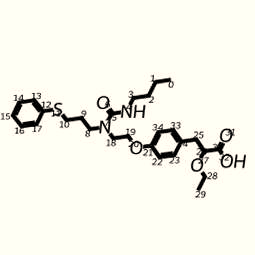 CCCCNC(=O)N(CCCSc1ccccc1)CCOc1ccc(CC(OCC)C(=O)O)cc1